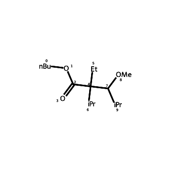 CCCCOC(=O)C(CC)(C(C)C)C(OC)C(C)C